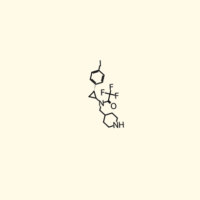 O=C(N(CC1CCNCC1)C1C[C@@H]1c1ccc(I)cc1)C(F)(F)F